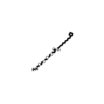 [N-]=[N+]=NCCOCCOCCOCCOCCC(=O)NCCCCCCCCCCC1CCCC1